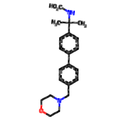 CC(C)(NC(=O)O)c1ccc(-c2ccc(CN3CCOCC3)cc2)cc1